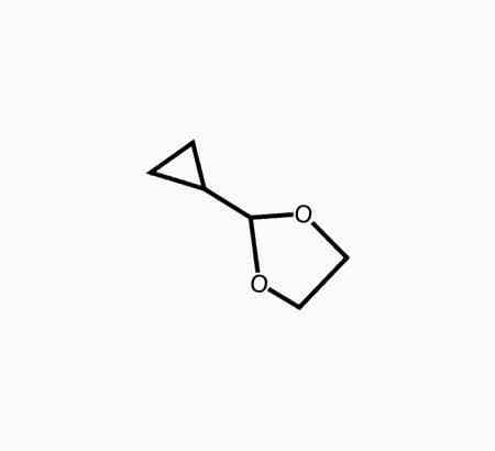 C1COC(C2CC2)O1